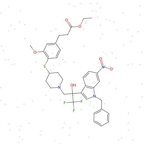 CCOC(=O)CCc1ccc(SC2CCN(CC(O)(c3cn(Cc4ccccc4)c4cc([N+](=O)[O-])ccc34)C(F)(F)F)CC2)c(OC)c1